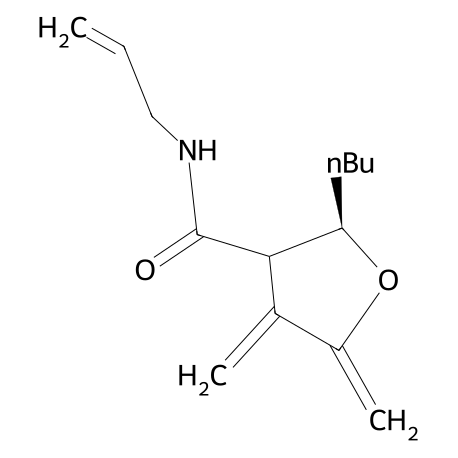 C=CCNC(=O)C1C(=C)C(=C)O[C@@H]1CCCC